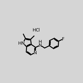 Cc1[nH]c2ccnc(NCc3ccc(F)cc3)c2c1C.Cl